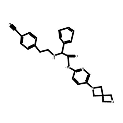 N#Cc1ccc(CCNC(C(=O)Nc2ccc(N3CC4(COC4)C3)cn2)c2ccccc2)cc1